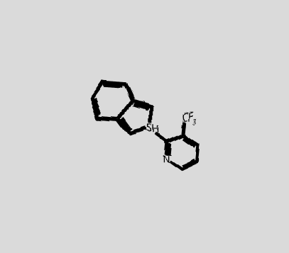 FC(F)(F)c1cccnc1[SH]1C=c2ccccc2=C1